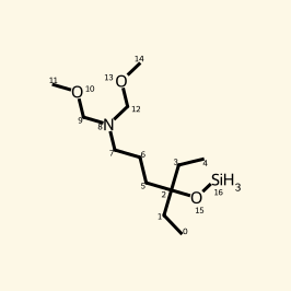 CCC(CC)(CCCN(COC)COC)O[SiH3]